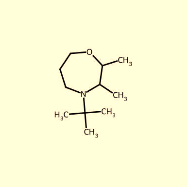 CC1OCCCN(C(C)(C)C)C1C